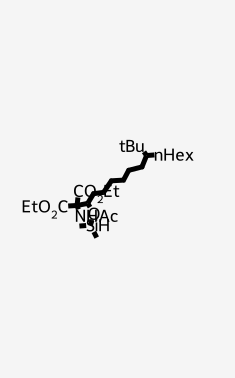 CCCCCCC(CCCCCCC(O[SiH](C)C)C(NC(C)=O)(C(=O)OCC)C(=O)OCC)C(C)(C)C